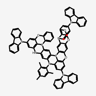 Cc1cc(C)c(N2c3cc4c(cc3B3c5cc6c(cc5Oc5cc(-n7c8ccccc8c8ccccc87)cc2c53)Oc2cc(-n3c5ccccc5c5ccccc53)cc3c2B6c2ccccc2O3)B2c3ccccc3Oc3cc(-n5c6ccccc6c6ccccc65)cc(c32)N4)c(C)c1